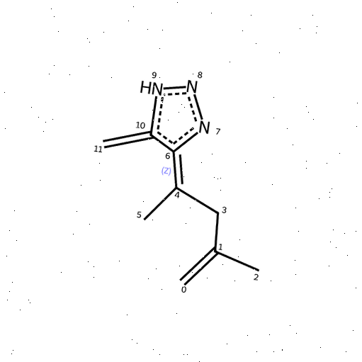 C=C(C)C/C(C)=c1\nn[nH]c1=C